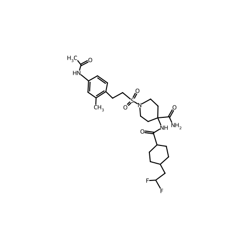 CC(=O)Nc1ccc(CCS(=O)(=O)N2CCC(NC(=O)C3CCC(CC(F)F)CC3)(C(N)=O)CC2)c(C)c1